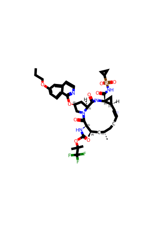 CCCOc1ccc2c(O[C@@H]3C[C@H]4C(=O)N[C@]5(C(=O)NS(=O)(=O)C6CC6)C[C@H]5/C=C\CC[C@H](C)C[C@@H](C)[C@H](NC(=O)OC(C)(C)C(F)(F)F)C(=O)N4C3)nccc2c1